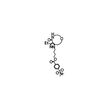 CCc1nn(CCCCOC(=O)c2ccc(S(=O)(=O)N(C)C)cc2)c2c1C(=O)NCCCOCCC2